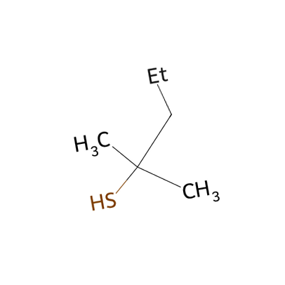 [CH2]CCC(C)(C)S